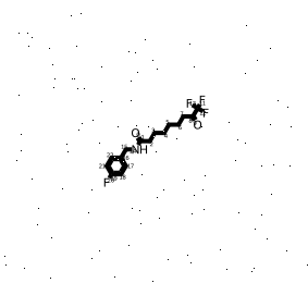 O=C(CCCCCCC(=O)C(F)(F)F)NCc1ccc(F)cc1